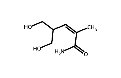 CC(=CC(CO)CO)C(N)=O